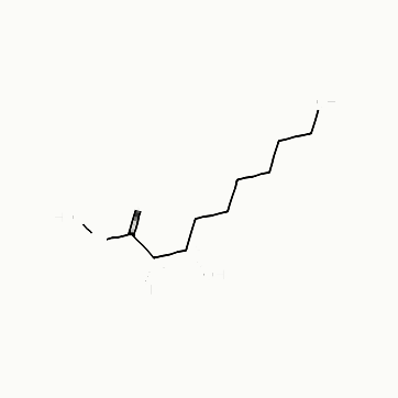 CCCCCCC[C@H](O)[C@H](C)C(=O)OC